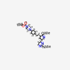 CNc1nccc(-c2cnc(OC)c(C=Cc3ccc(N4CCN(C(=O)OC(C)(C)C)CC4)cc3)c2)n1